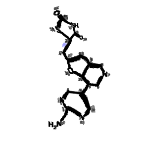 Nc1ncc(-c2cncc3cc(/C=C4/SC(=O)NC4=O)oc23)cn1